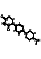 CNC1CCN(c2ccc(C3CCC(=O)NC3=O)cn2)CC1